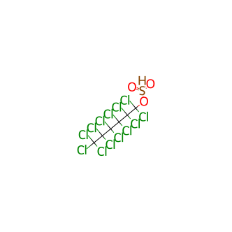 O=[SH](=O)OC(Cl)(Cl)C(Cl)(Cl)C(Cl)(Cl)C(Cl)(Cl)C(Cl)(Cl)C(Cl)(Cl)Cl